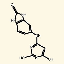 O=c1[nH]c2ccc(Nc3nc(O)nc(O)n3)cc2[nH]1